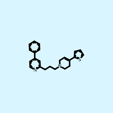 C1=C(c2cccs2)CCN(CCCc2cc(-c3ccccc3)ccn2)C1